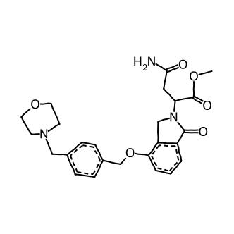 COC(=O)C(CC(N)=O)N1Cc2c(OCc3ccc(CN4CCOCC4)cc3)cccc2C1=O